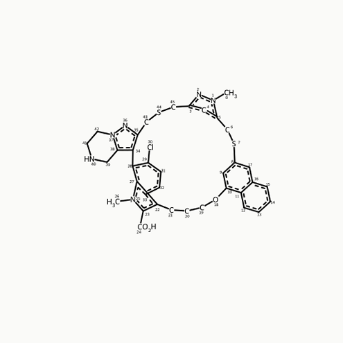 Cn1nc2cc1CSc1cc(c3ccccc3c1)OCCCc1c(C(=O)O)n(C)c3c(c(Cl)ccc13)-c1c(nn3c1CNCC3)CSC2